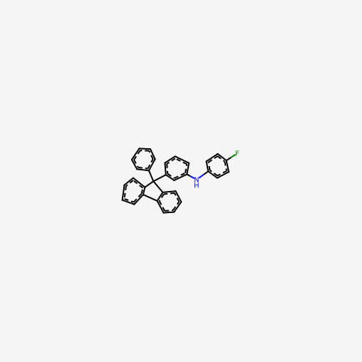 Fc1ccc(Nc2cccc(C3(c4ccccc4)c4ccccc4-c4ccccc43)c2)cc1